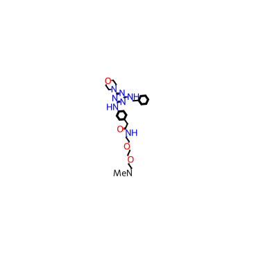 CNCCOCCOCCNC(=O)Cc1ccc(Nc2nc(NCc3ccccc3)nc(N3CCOCC3)n2)cc1